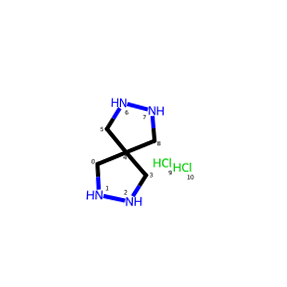 C1NNCC12CNNC2.Cl.Cl